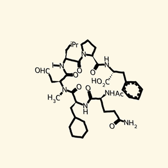 CC(=O)N[C@@H](CCC(N)=O)C(=O)N[C@@H](CC1CCCCC1)C(=O)N(C)[C@@H](CC=O)C(=O)N(I)[C@@H](CC(C)C)C(=O)N1CCC[C@H]1C(=O)N[C@H](Cc1ccccc1)C(=O)O